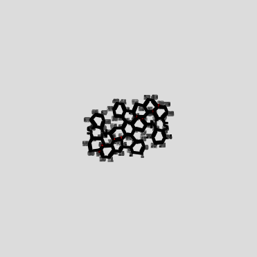 C1=CCC(c2ccc3ccccc3c2)C(c2c3cc(N4c5ccccc5Sc5ccccc54)ccc3c(-c3ccccc3-c3ccc4ccccc4c3)c3cc(N4C5=C(C=CCC5)Sc5ccccc54)ccc23)=C1